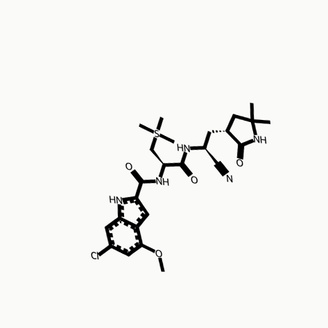 COc1cc(Cl)cc2[nH]c(C(=O)N[C@@H](CS(C)(C)C)C(=O)N[C@H](C#N)C[C@@H]3CC(C)(C)NC3=O)cc12